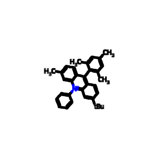 Cc1cc(C)c(-c2c3ccc(C)cc3[n+](-c3ccccc3)c3cc(C(C)(C)C)ccc23)c(C)c1